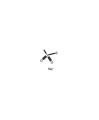 CS(=O)(=O)[S-].[Na+]